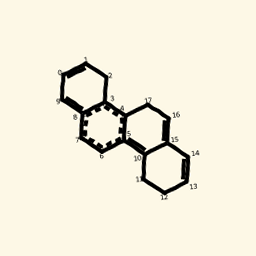 C1=CCc2c3c(ccc2=C1)=C1CCC=CC1=CC3